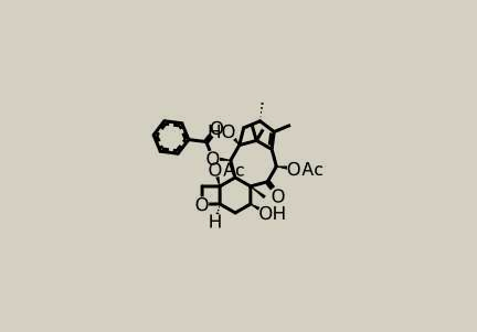 CC(=O)O[C@H]1C(=O)[C@@]2(C)C([C@@H](OC(=O)c3ccccc3)[C@]3(O)C[C@H](C)C(C)=C1C3(C)C)[C@@]1(OC(C)=O)CO[C@@H]1C[C@@H]2O